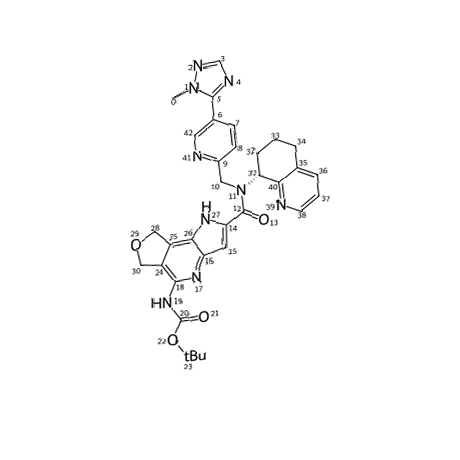 Cn1ncnc1-c1ccc(CN(C(=O)c2cc3nc(NC(=O)OC(C)(C)C)c4c(c3[nH]2)COC4)[C@@H]2CCCc3cccnc32)nc1